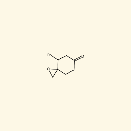 CC(C)C1CC(=O)CCC12CO2